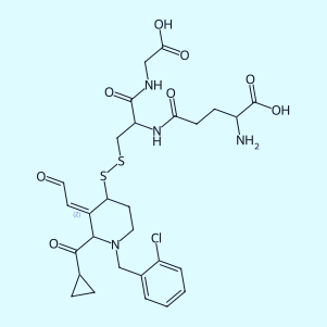 NC(CCC(=O)NC(CSSC1CCN(Cc2ccccc2Cl)C(C(=O)C2CC2)/C1=C/C=O)C(=O)NCC(=O)O)C(=O)O